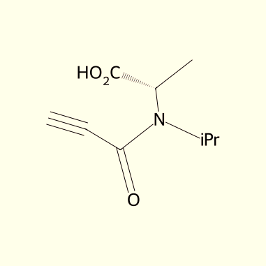 C#CC(=O)N(C(C)C)[C@@H](C)C(=O)O